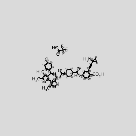 Cc1sc2c(c1C)C(c1ccc(Cl)cc1)=N[C@@H](CC(=O)N1CCC(C(=O)Nc3ccc(C(=O)O)c(C#CC4(N)CC4)c3)CC1)c1nnc(C)n1-2.O=C(O)C(F)(F)F